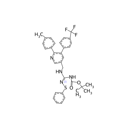 Cc1ccc(-c2ncc(CN/C(=N/Sc3ccccc3)NC(=O)OC(C)(C)C)cc2-c2ccc(C(F)(F)F)cc2)cc1